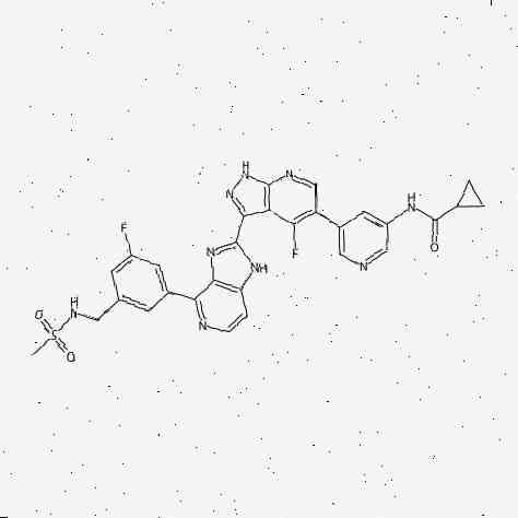 CS(=O)(=O)NCc1cc(F)cc(-c2nccc3[nH]c(-c4n[nH]c5ncc(-c6cncc(NC(=O)C7CC7)c6)c(F)c45)nc23)c1